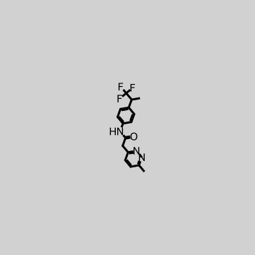 Cc1ccc(CC(=O)Nc2ccc(C(C)C(F)(F)F)cc2)nn1